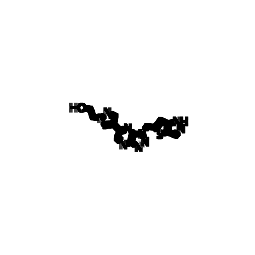 OCCn1cc(-c2cnc3nnn(Cc4cc5[nH]ncc5s4)c3n2)cn1